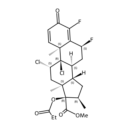 CCC(=O)O[C@]1(C(=O)OC)[C@H](C)C[C@H]2[C@@H]3C[C@H](F)C4=C(F)C(=O)C=C[C@]4(C)[C@@]3(Cl)[C@@H](Cl)C[C@@]21C